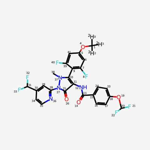 [2H]C([2H])([2H])Oc1cc(F)c(-c2c(NC(=O)c3ccc(OC(F)F)cc3)c(=O)n(-c3cc(C(F)F)ccn3)n2C)c(F)c1